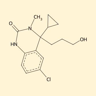 CN1C(=O)Nc2ccc(Cl)cc2C1(CCCO)C1CC1